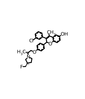 CC1=C(c2cccc(Cl)c2)C(c2ccc(OC[C@H](C)N3CC[C@@H](CF)C3)cc2)Oc2ccc(O)cc21